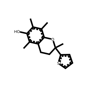 Cc1c(C)c2c(c(C)c1O)CCC(C)(c1cccs1)O2